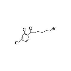 O=C(CCCCCBr)c1ccc(Cl)cc1Cl